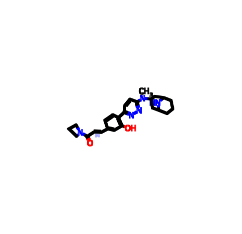 CN(c1ccc(-c2ccc(/C=C/C(=O)N3CCC3)cc2O)nn1)C1CC2CCCC(C1)N2